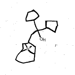 C[N+]1(C)C2CCCC1CC(CC(O)(C1CCCC1)C1CCCC1)C2.[I-]